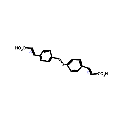 O=C(O)/C=C/c1ccc(SSc2ccc(/C=C/C(=O)O)cc2)cc1